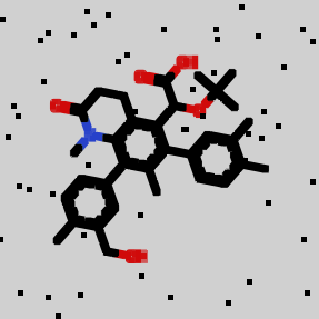 Cc1ccc(-c2c(C)c(-c3ccc(C)c(CO)c3)c3c(c2C(OC(C)(C)C)C(=O)O)CCC(=O)N3C)cc1C